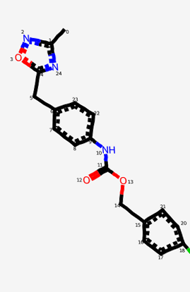 Cc1noc(Cc2ccc(NC(=O)OCc3ccc(Cl)cc3)cc2)n1